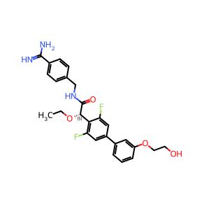 CCO[C@H](C(=O)NCc1ccc(C(=N)N)cc1)c1c(F)cc(-c2cccc(OCCO)c2)cc1F